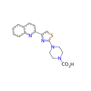 O=C(O)N1CCN(c2nc(-c3ccc4ccccc4n3)cs2)CC1